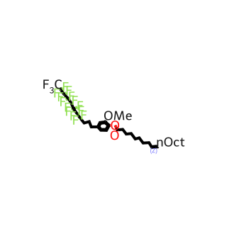 CCCCCCCC/C=C\CCCCCCCC(=O)Oc1ccc(CCCC(F)(F)C(F)(F)C(F)(F)C(F)(F)C(F)(F)C(F)(F)C(F)(F)C(F)(F)F)cc1OC